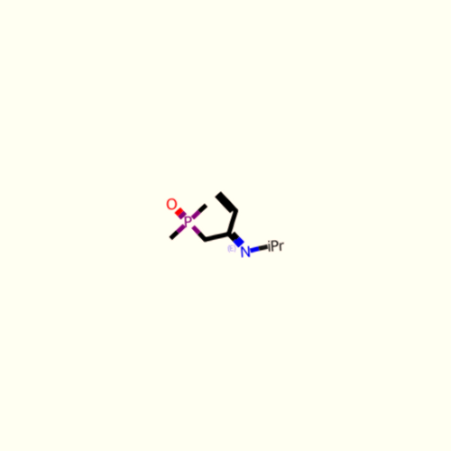 C=C/C(CP(C)(C)=O)=N\C(C)C